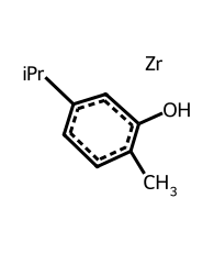 Cc1ccc(C(C)C)cc1O.[Zr]